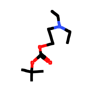 CCN(CC)CCOC(=O)OC(C)(C)C